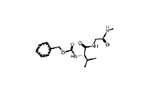 CNC(=O)CNC(=O)[C@@H](NC(=O)OCc1ccccc1)C(C)C